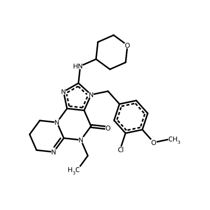 CCN1C(=O)c2c(nc(NC3CCOCC3)n2Cc2ccc(OC)c(Cl)c2)N2CCCN=C12